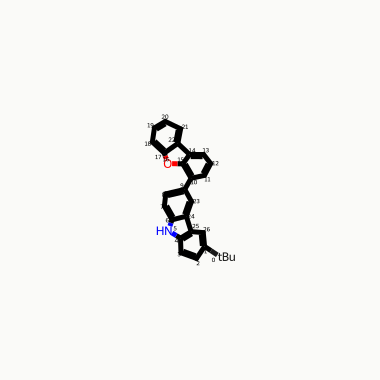 CC(C)(C)c1ccc2[nH]c3ccc(-c4cccc5c4oc4ccccc45)cc3c2c1